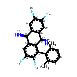 Cc1cccc(C)c1-c1c(F)c(F)cc2c1C(=N)c1cc(F)c(F)cc1C2=N